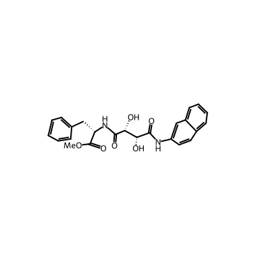 COC(=O)[C@H](Cc1ccccc1)NC(=O)[C@H](O)[C@@H](O)C(=O)Nc1ccc2ccccc2c1